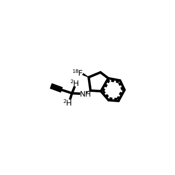 [2H]C([2H])(C#C)N[C@H]1c2ccccc2C[C@@H]1[18F]